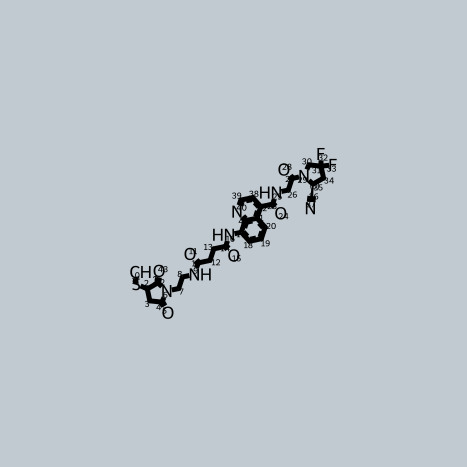 CSC1CC(=O)N(CCNC(=O)CCC(=O)Nc2cccc3c(C(=O)NCC(=O)N4CC(F)(F)C[C@H]4C#N)ccnc23)C1=O